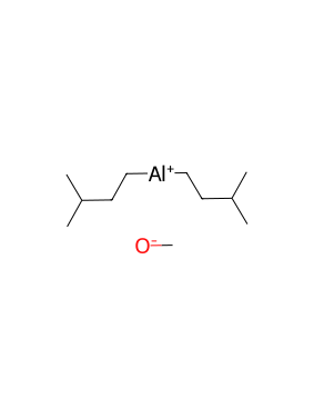 CC(C)C[CH2][Al+][CH2]CC(C)C.C[O-]